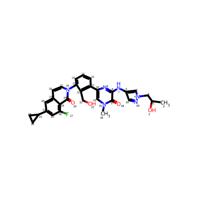 CC(O)Cn1cc(Nc2nc(-c3cccc(-n4ccc5cc(C6CC6)cc(F)c5c4=O)c3CO)cn(C)c2=O)cn1